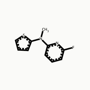 CN(c1cccc(F)n1)c1cccs1